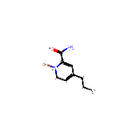 N#CC[CH]C1=CCN(Br)C(C(N)=O)=C1